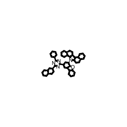 c1ccc(-c2nc(-c3ccc4ccccc4c3)nc(-c3cc(-n4c5ccc6ccccc6c5c5ccc6ccccc6c54)c4oc5ccccc5c4c3)n2)cc1